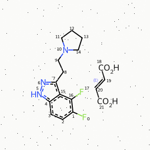 Fc1ccc2[nH]nc(CCN3CCCC3)c2c1F.O=C(O)/C=C/C(=O)O